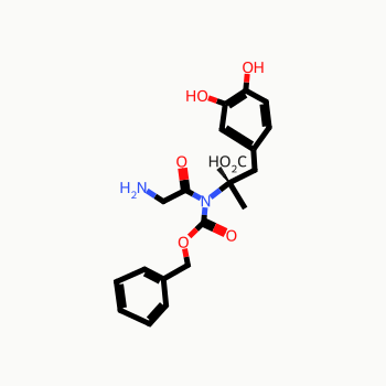 C[C@](Cc1ccc(O)c(O)c1)(C(=O)O)N(C(=O)CN)C(=O)OCc1ccccc1